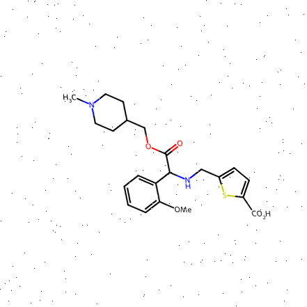 COc1ccccc1C(NCc1ccc(C(=O)O)s1)C(=O)OCC1CCN(C)CC1